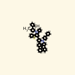 Cc1ccccc1-c1cc(-n2c3ccccc3c3cc(-c4cccc(N(c5ccc(-c6ccccc6)cc5)c5ccc6c(c5)C5(c7ccccc7-c7ccccc75)c5ccccc5-6)c4)c4sc5ccccc5c4c32)ccc1C